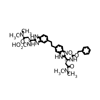 CN(C)C(=O)C[C@H](NC(=O)O)c1nc2cc(CCc3ccc4nc([C@H](CC(=O)N(C)C)NC(=O)OCc5ccccc5)[nH]c4c3)ccc2[nH]1